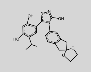 CC(C)c1cc(-c2nnc(O)n2-c2ccc3c(c2)CC2(C3)OCCO2)c(O)cc1O